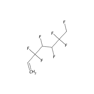 C=CC(F)(F)C(F)C(F)C(F)(F)CF